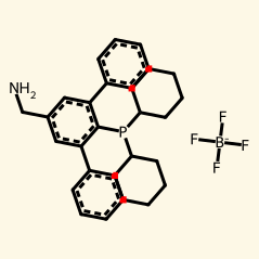 F[B-](F)(F)F.NCc1cc(-c2ccccc2)c(P(C2CCCCC2)C2CCCCC2)c(-c2ccccc2)c1